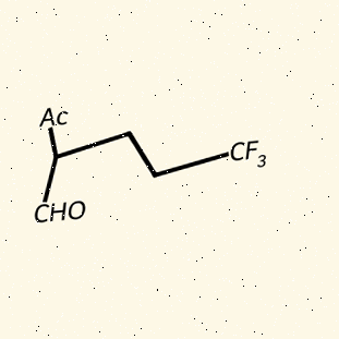 CC(=O)C(C=O)CCC(F)(F)F